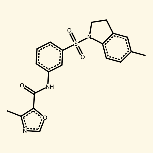 Cc1ccc2c(c1)CCN2S(=O)(=O)c1cccc(NC(=O)c2ocnc2C)c1